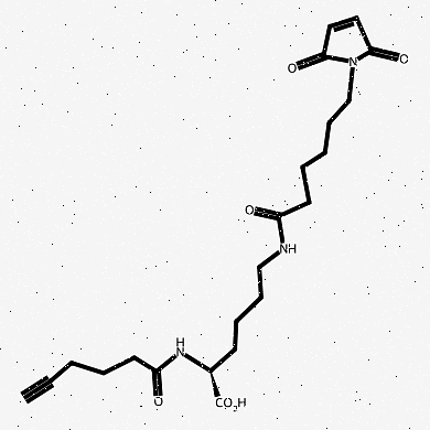 C#CCCCC(=O)N[C@@H](CCCCNC(=O)CCCCCN1C(=O)C=CC1=O)C(=O)O